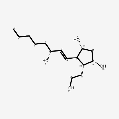 CCCCC[C@@H](O)/C=C/[C@@H]1[C@@H](CCO)[C@@H](O)C[C@H]1O